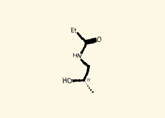 CCC(=O)NC[C@H](C)O